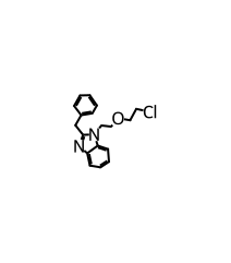 ClCCOCCn1c(Cc2ccccc2)nc2ccccc21